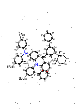 Cc1cc2c3c(c1)N(c1ccc(C(C)(C)C)cc1-c1ccccc1)c1cc(N(c4ccc(C(C)(C)C)cc4C)c4ccc(C(C)(C)C)cc4C)ccc1B3c1cc(-c3ccccc3)cc3c1C2C1(C)CCCCC31C